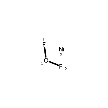 FOF.[Ni]